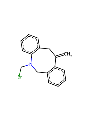 C=C1Cc2ccccc2N(CBr)Cc2ccccc21